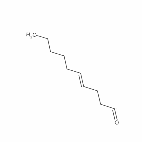 CCCCCC=CCC[C]=O